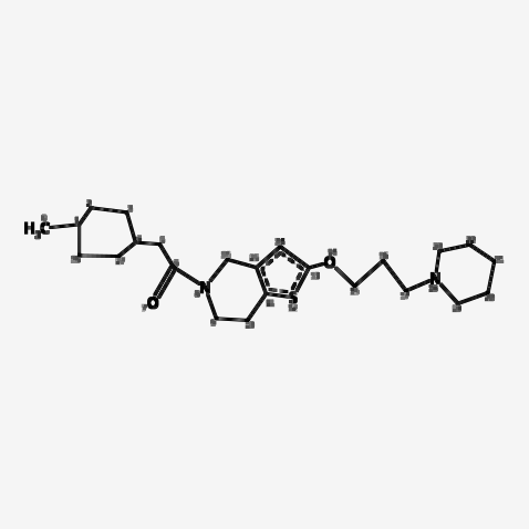 CC1CCC(CC(=O)N2CCc3sc(OCCCN4CCCCC4)cc3C2)CC1